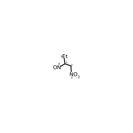 CCC(C[N+](=O)[O-])N=O